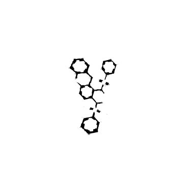 CC(c1ccc2c(c1C(C)S(=O)(=O)c1ccccc1)Cc1ccccc1S2)S(=O)(=O)c1ccccc1